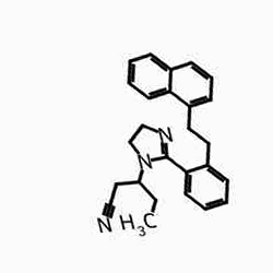 CCC(CC#N)N1CCN=C1c1ccccc1CCc1cccc2ccccc12